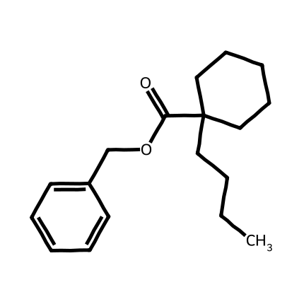 CCCCC1(C(=O)OCc2ccccc2)CCCCC1